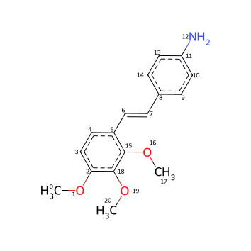 COc1ccc(C=Cc2ccc(N)cc2)c(OC)c1OC